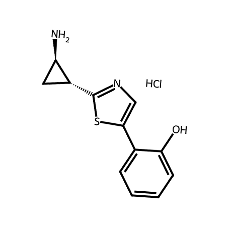 Cl.N[C@@H]1C[C@H]1c1ncc(-c2ccccc2O)s1